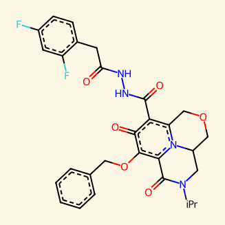 CC(C)N1CC2COCc3c(C(=O)NNC(=O)Cc4ccc(F)cc4F)c(=O)c(OCc4ccccc4)c(n32)C1=O